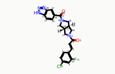 O=C(C=Cc1ccc(Cl)cc1F)N1C[C@@H]2CN(C(=O)c3ccc4[nH]nnc4c3)C[C@H]2C1